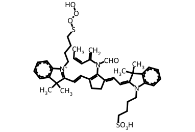 C=C(/C=C\C)N(C=O)C1=C(/C=C/C2=[N+](CCCCSOOO)c3ccccc3C2(C)C)CC/C1=C\C=C1\N(CCCCS(=O)(=O)O)c2ccccc2C1(C)C